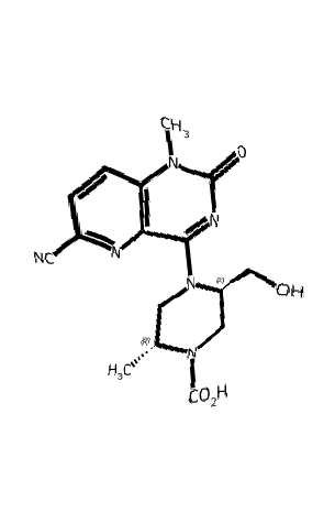 C[C@@H]1CN(c2nc(=O)n(C)c3ccc(C#N)nc23)[C@@H](CO)CN1C(=O)O